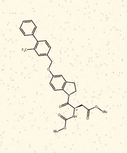 CC(C)(C)OC(=O)C[C@@H](NC(=O)OC(C)(C)C)C(=O)N1CCc2cc(OCc3ccc(-c4ccccc4)c(C(F)(F)F)c3)ccc21